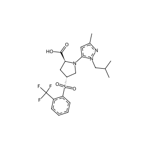 Cc1cc(N2C[C@H](S(=O)(=O)c3ccccc3C(F)(F)F)C[C@H]2C(=O)O)n(CC(C)C)n1